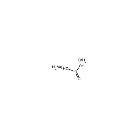 O=[Si](O)O.[CaH2].[MgH2]